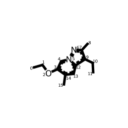 CCOc1cn2nc(C)c(CC)c2cc1C